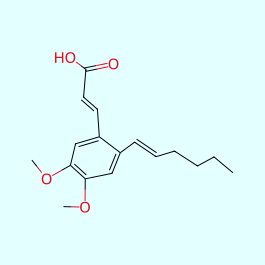 CCCCC=Cc1cc(OC)c(OC)cc1C=CC(=O)O